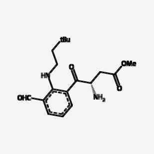 COC(=O)C[C@H](N)C(=O)c1cccc(C=O)c1NCCC(C)(C)C